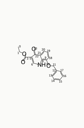 CCOC(=O)c1c[nH]c2c(OCc3ccccc3)cccc2c1=O